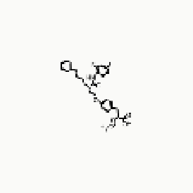 CCOC(Cc1ccc(OCCN(CCCSc2ccccc2)C(=O)Nc2ccc(F)cc2F)cc1)C(=O)O